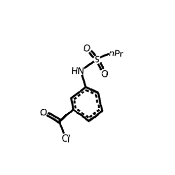 CCCS(=O)(=O)Nc1cccc(C(=O)Cl)c1